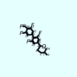 CC1CCC(c2cc(F)c(-c3cc(F)c(CF)c(F)c3)c(F)c2)OC1